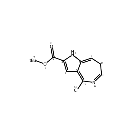 CC(C)(C)OC(=O)c1cc2c([nH]1)=CCC=NC=2Cl